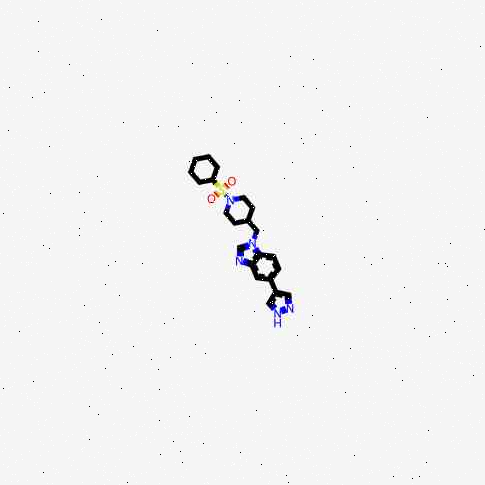 O=S(=O)(C1CCCCC1)N1CCC(Cn2cnc3cc(-c4cn[nH]c4)ccc32)CC1